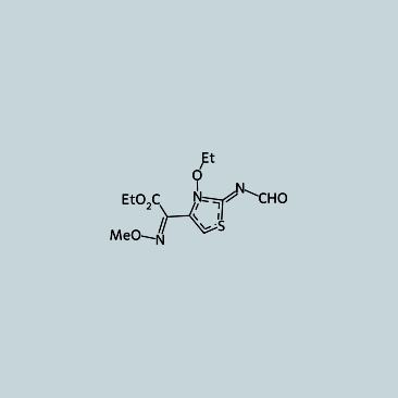 CCOC(=O)C(=NOC)c1csc(=NC=O)n1OCC